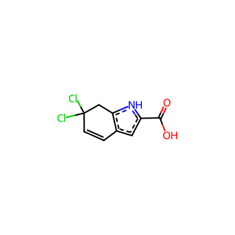 O=C(O)c1cc2c([nH]1)CC(Cl)(Cl)C=C2